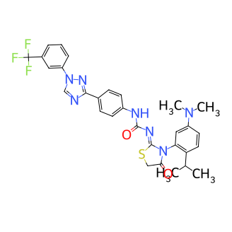 CC(C)c1ccc(N(C)C)cc1N1C(=O)CS/C1=N\C(=O)Nc1ccc(-c2ncn(-c3cccc(C(F)(F)F)c3)n2)cc1